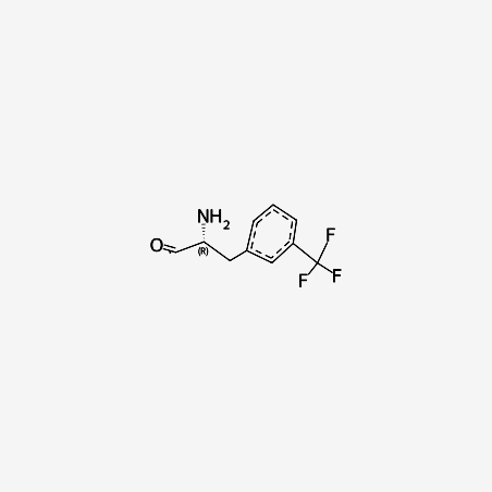 N[C@@H]([C]=O)Cc1cccc(C(F)(F)F)c1